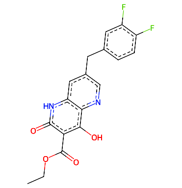 CCOC(=O)c1c(O)c2ncc(Cc3ccc(F)c(F)c3)cc2[nH]c1=O